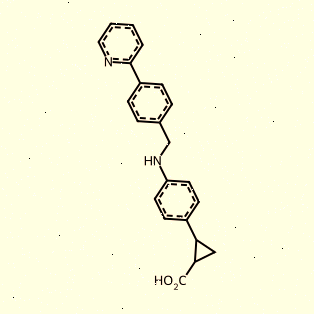 O=C(O)C1CC1c1ccc(NCc2ccc(-c3ccccn3)cc2)cc1